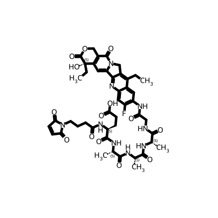 CCc1c2c(nc3cc(F)c(NC(=O)CNC(=O)[C@H](C)NC(=O)[C@H](C)NC(=O)[C@H](C)NC(=O)[C@H](CCC(=O)O)NC(=O)CCCN4C(=O)C=CC4=O)cc13)-c1cc3c(c(=O)n1C2)COC(=O)[C@]3(O)CC